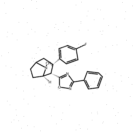 CN1C2CC[C@@H]1[C@@H](c1nc(-c3ccccc3)no1)[C@@H](c1ccc(F)cc1)C2